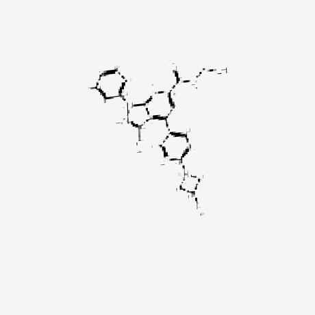 CCOC(=O)c1cc(-c2ccc(N3CC(F)C3)cc2)c2c(C)nn(-c3ccccc3)c2n1